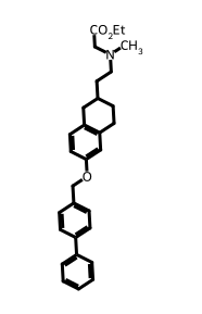 CCOC(=O)CN(C)CCC1CCc2cc(OCc3ccc(-c4ccccc4)cc3)ccc2C1